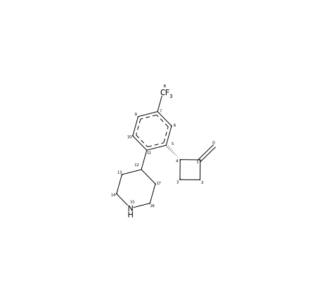 C=C1CC[C@@H]1c1cc(C(F)(F)F)ccc1C1CCNCC1